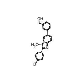 Cc1c(-c2ccc(Cl)cc2)nc2ccc(-c3cccc(CO)c3)cn12